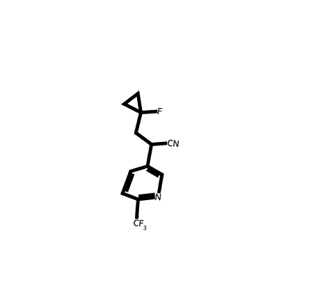 N#CC(CC1(F)CC1)c1ccc(C(F)(F)F)nc1